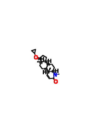 CN1C(=O)C=C[C@]2(C)[C@H]3CC[C@]4(C)[C@@H](OC5CC5)CC[C@H]4[C@@H]3CC[C@@H]12